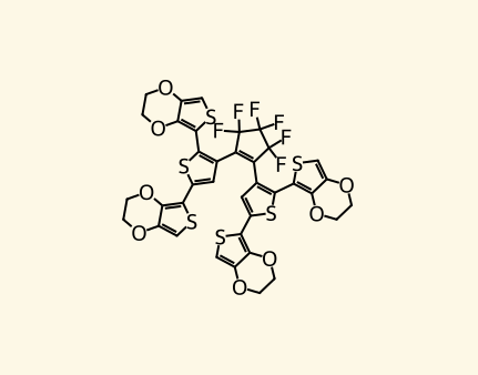 FC1(F)C(c2cc(-c3scc4c3OCCO4)sc2-c2scc3c2OCCO3)=C(c2cc(-c3scc4c3OCCO4)sc2-c2scc3c2OCCO3)C(F)(F)C1(F)F